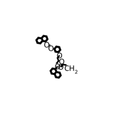 C=CC(=O)OC(COc1cccc(OCOc2cccc3ccccc23)c1)COc1cccc2ccccc12